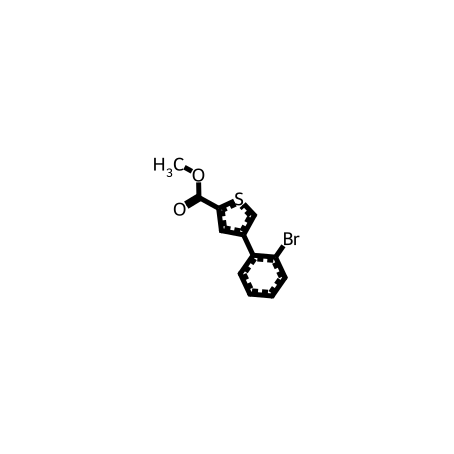 COC(=O)c1cc(-c2ccccc2Br)cs1